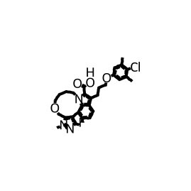 Cc1cc(OCCCc2c(C(=O)O)n3c4c(c(F)ccc24)-c2c(C)nn(C)c2COCCCC3)cc(C)c1Cl